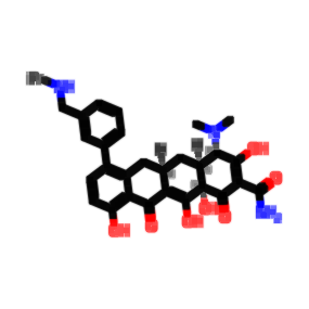 CC(C)NCc1cccc(-c2ccc(O)c3c2C[C@H]2C[C@H]4[C@H](N(C)C)C(O)=C(C(N)=O)C(=O)[C@@]4(O)C(O)=C2C3=O)c1